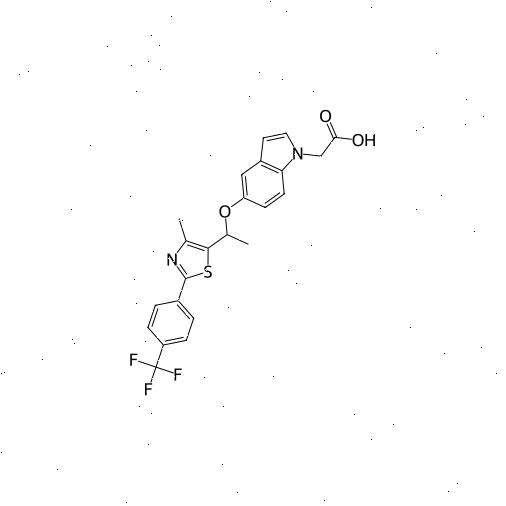 Cc1nc(-c2ccc(C(F)(F)F)cc2)sc1C(C)Oc1ccc2c(ccn2CC(=O)O)c1